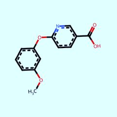 COc1cccc(Oc2ccc(C(=O)O)cn2)c1